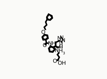 Cc1c(Cc2nnn[nH]2)c2c(NC(=O)c3ccc(OCCCCc4ccccc4)cc3)cccc2n1CCCC(=O)O